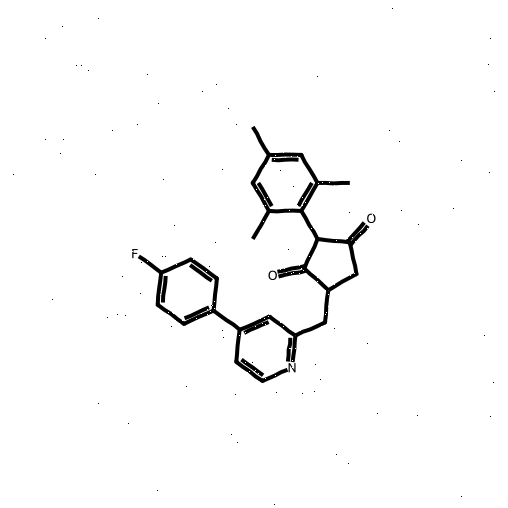 Cc1cc(C)c(C2C(=O)CC(Cc3cc(-c4ccc(F)cc4)ccn3)C2=O)c(C)c1